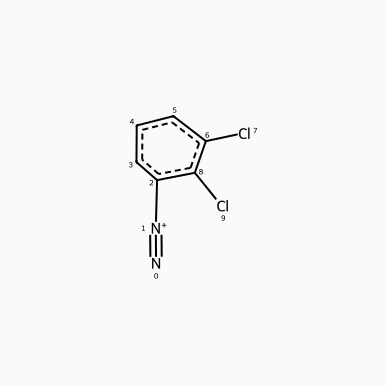 N#[N+]c1cccc(Cl)c1Cl